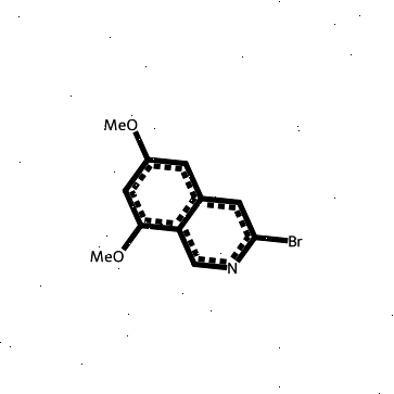 COc1cc(OC)c2cnc(Br)cc2c1